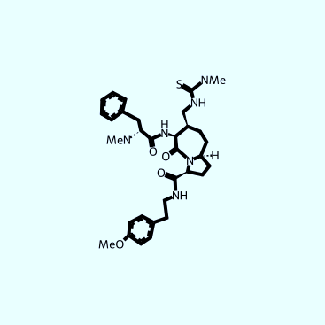 CNC(=S)NC[C@H]1CC[C@H]2CC[C@@H](C(=O)NCCc3ccc(OC)cc3)N2C(=O)[C@H]1NC(=O)[C@@H](Cc1ccccc1)NC